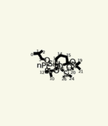 C=C(C)CO[SiH](CCC)[Si]1(O[Si](C)(C)C)CCCC(O[Si](C)(C)C)(O[Si](C)(C)C)O1